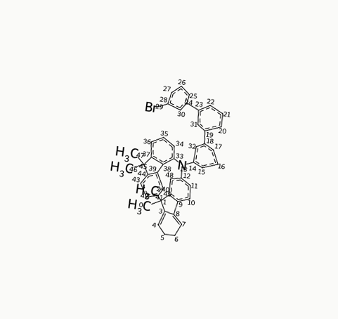 CC1(C)C2=CCCC=C2c2ccc(N(c3cccc(-c4cccc(-c5cccc(Br)c5)c4)c3)c3cccc4c3-c3ccccc3C4(C)C)cc21